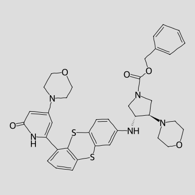 O=C(OCc1ccccc1)N1C[C@@H](N2CCOCC2)[C@H](Nc2ccc3c(c2)Sc2cccc(-c4cc(N5CCOCC5)cc(=O)[nH]4)c2S3)C1